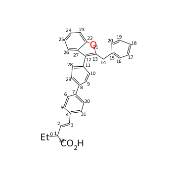 CCC(/C=C/c1ccc(-c2ccc(-c3c(Cc4ccccc4)oc4ccccc34)cc2)cc1)C(=O)O